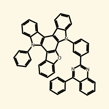 c1ccc(-c2nc(-c3cccc(-n4c5ccccc5c5c6c7ccccc7n(-c7ccccc7)c6c6c7ccccc7oc6c54)c3)nc3ccccc23)cc1